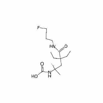 CCC(CC)(CC(C)(C)NC(=O)O)C(=O)NCCCF